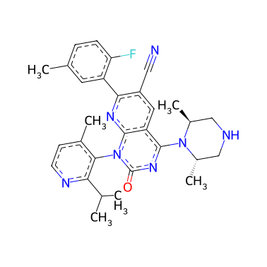 Cc1ccc(F)c(-c2nc3c(cc2C#N)c(N2[C@@H](C)CNC[C@@H]2C)nc(=O)n3-c2c(C)ccnc2C(C)C)c1